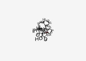 CC(C)N1C(=O)c2c(O)c(=O)ccn2N2[C@@H](c3ccccc3)c3ccccc3CCC[C@H]12